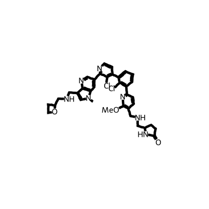 COc1nc(-c2cccc(-c3ccnc(-c4cnc5c(CNCC6CCO6)cn(C)c5c4)c3Cl)c2Cl)ccc1CNCC1CCC(=O)N1